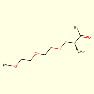 CCC(=O)[C@H](COCCOCCOC(C)C)NC